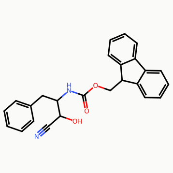 N#CC(O)C(Cc1ccccc1)NC(=O)OCC1c2ccccc2-c2ccccc21